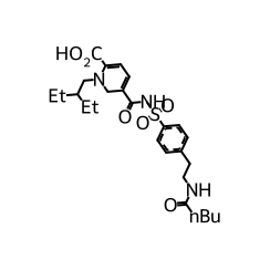 CCCCC(=O)NCCc1ccc(S(=O)(=O)NC(=O)C2=CC=C(C(=O)O)N(CC(CC)CC)C2)cc1